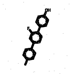 Cc1ccc(-c2ccc(-c3ccc(O)cc3)c(F)c2)cc1